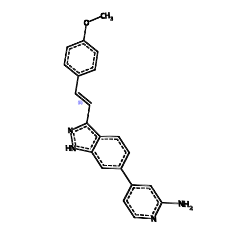 COc1ccc(/C=C/c2n[nH]c3cc(-c4ccnc(N)c4)ccc23)cc1